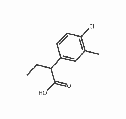 CCC(C(=O)O)c1ccc(Cl)c(C)c1